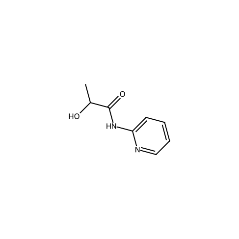 CC(O)C(=O)Nc1ccccn1